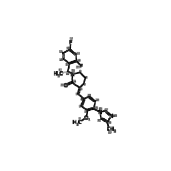 COc1cc(C=C2CCCN([C@H](C)c3ccc(F)cc3F)C2=O)ccc1-n1cnc(C)c1